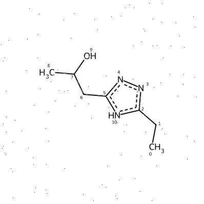 CCc1nnc(CC(C)O)[nH]1